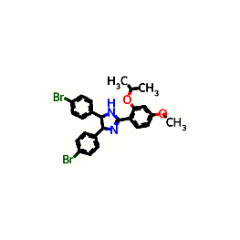 COc1ccc(C2=NC(c3ccc(Br)cc3)C(c3ccc(Br)cc3)N2)c(OC(C)C)c1